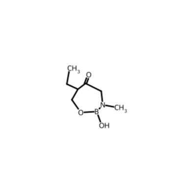 CCC1COB(O)N(C)CC1=O